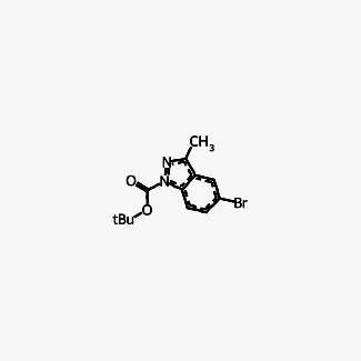 Cc1nn(C(=O)OC(C)(C)C)c2ccc(Br)cc12